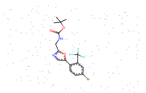 CC(C)(C)OC(=O)NCc1ncc(-c2ccc(Br)cc2C(F)(F)F)o1